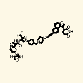 O=C1CC[C@@H](c2coc3ccc4cc(C#CCOC5CCN(CC6CCC(n7cc(NC(=O)c8cnn9ccc(N%10C[C@H]%11C[C@@H]%10CO%11)nc89)c(C(F)F)n7)CC6)CC5)ccc4c23)C(=O)N1